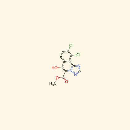 COC(=O)c1c(O)c2ccc(Cl)c(Cl)c2c2ncnn12